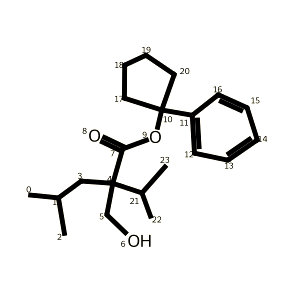 CC(C)CC(CO)(C(=O)OC1(c2ccccc2)CCCC1)C(C)C